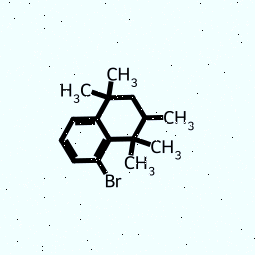 CC1CC(C)(C)c2cccc(Br)c2C1(C)C